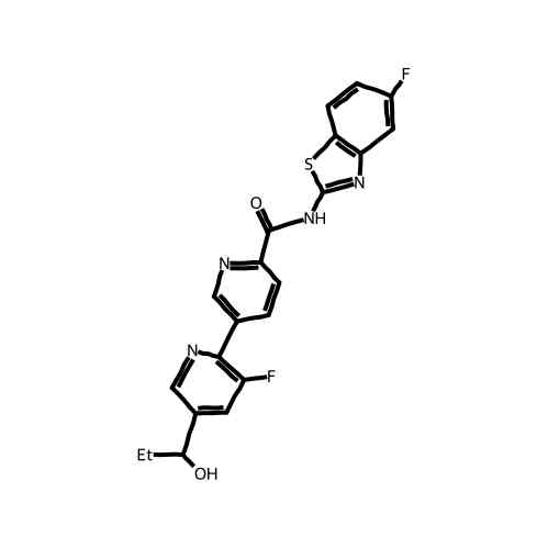 CCC(O)c1cnc(-c2ccc(C(=O)Nc3nc4cc(F)ccc4s3)nc2)c(F)c1